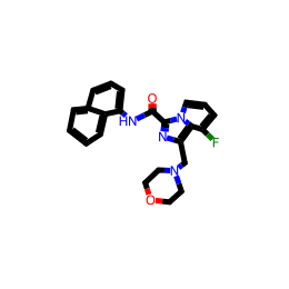 O=C(Nc1cccc2ccccc12)c1nc(CN2CCOCC2)c2c(F)cccn12